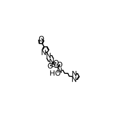 O=C(CS(=O)(=O)N1CCN(c2ccc(-c3ccoc3)cn2)CC1)N(O)CCCCc1ncccn1